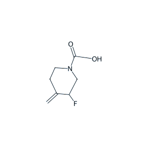 C=C1CCN(C(=O)O)CC1F